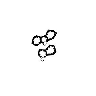 [c]1coc2ccccc12.c1ccc2c(c1)oc1ccccc12